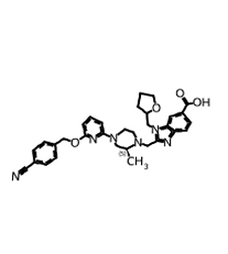 C[C@H]1CN(c2cccc(OCc3ccc(C#N)cc3)n2)CCN1Cc1nc2ccc(C(=O)O)cc2n1CC1CCCO1